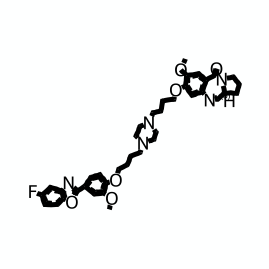 COc1cc(-c2nc3cc(F)ccc3o2)ccc1OCCCCN1CCN(CCCCOc2cc3c(cc2OC)C(=O)N2CCC[C@H]2C=N3)CC1